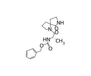 C[C@H](NC(=O)OCc1ccccc1)C(=O)N1CCCC12CCNC2=O